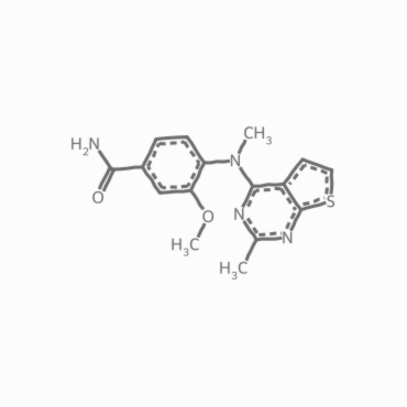 COc1cc(C(N)=O)ccc1N(C)c1nc(C)nc2sccc12